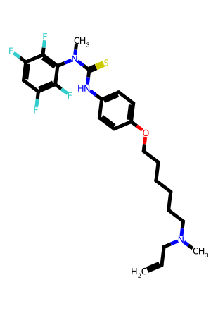 C=CCN(C)CCCCCCOc1ccc(NC(=S)N(C)c2c(F)c(F)cc(F)c2F)cc1